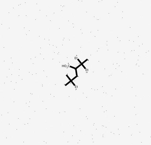 CCC(C)(C)CC(C(=O)O)C(C)(CC)CC